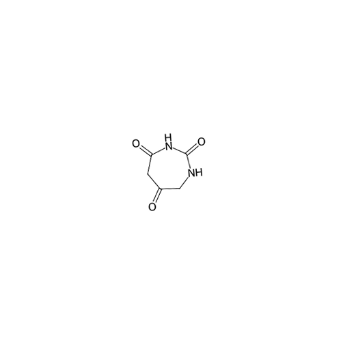 O=C1CNC(=O)NC(=O)C1